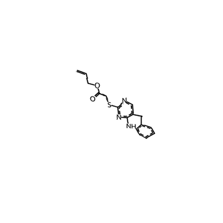 C=CCOC(=O)CSc1ncc(Cc2ccccc2)c(N)n1